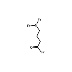 CCN(CC)CCCC(=O)C(C)C